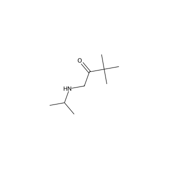 CC(C)NCC(=O)C(C)(C)C